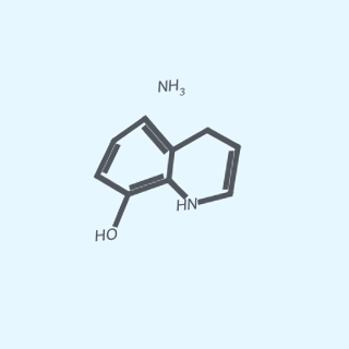 N.Oc1cccc2c1NC=CC2